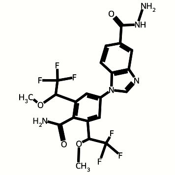 COC(c1cc(-n2cnc3cc(C(=O)NN)ccc32)cc(C(OC)C(F)(F)F)c1C(N)=O)C(F)(F)F